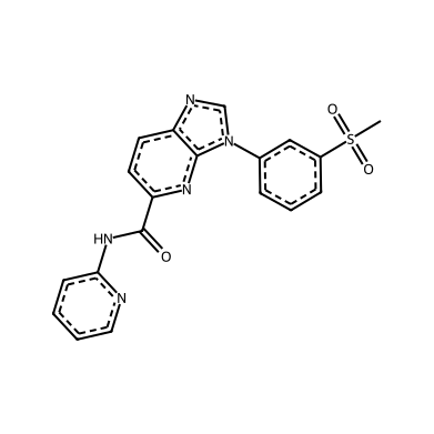 CS(=O)(=O)c1cccc(-n2cnc3ccc(C(=O)Nc4ccccn4)nc32)c1